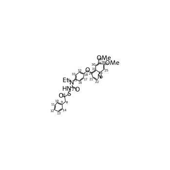 CCN(C(=O)NSC(=O)Cc1ccccc1)c1ccc(Oc2ccnc3cc(OC)c(OC)cc23)cc1